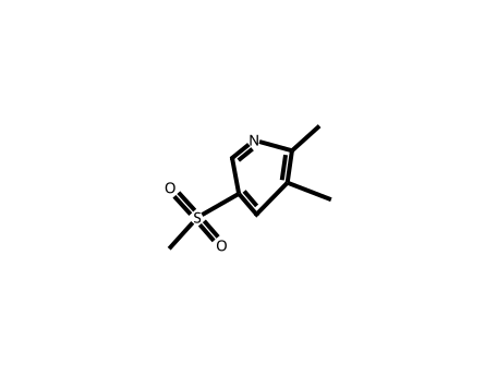 Cc1cc(S(C)(=O)=O)cnc1C